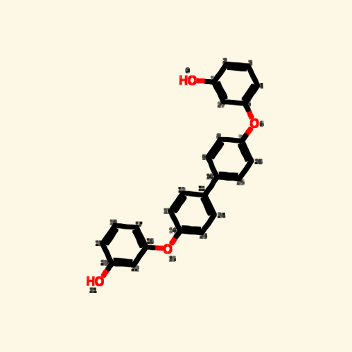 Oc1cccc(Oc2ccc(-c3ccc(Oc4cccc(O)c4)cc3)cc2)c1